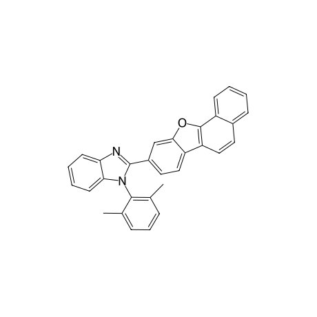 Cc1cccc(C)c1-n1c(-c2ccc3c(c2)oc2c4ccccc4ccc32)nc2ccccc21